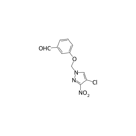 O=Cc1cccc(OCn2cc(Cl)c([N+](=O)[O-])n2)c1